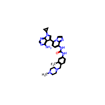 CN1CCN(Cc2ccc(NC(=O)Nc3ccc(-c4cn(C5CC5)c5ncnc(N)c45)n4ccnc34)cc2C(F)(F)F)CC1